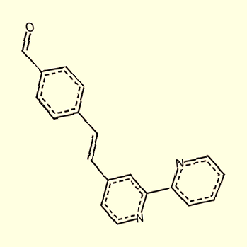 O=Cc1ccc(C=Cc2ccnc(-c3ccccn3)c2)cc1